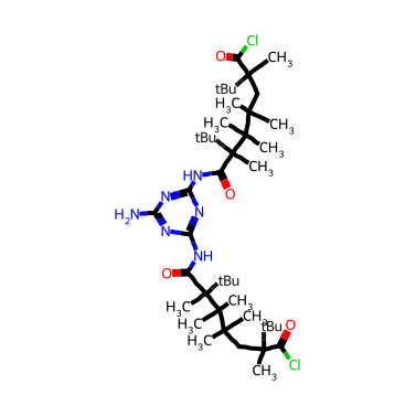 CC(C)(C)C(C)(CC(C)(C)C(C)(C)C(C)(C(=O)Nc1nc(N)nc(NC(=O)C(C)(C(C)(C)C)C(C)(C)C(C)(C)CC(C)(C(=O)Cl)C(C)(C)C)n1)C(C)(C)C)C(=O)Cl